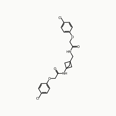 O=C(COc1ccc(Cl)cc1)NCC12CC(NC(=O)COc3ccc(Cl)cc3)(C1)C2